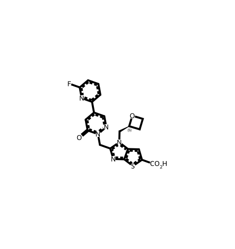 O=C(O)c1cc2c(nc(Cn3ncc(-c4cccc(F)n4)cc3=O)n2C[C@@H]2CCO2)s1